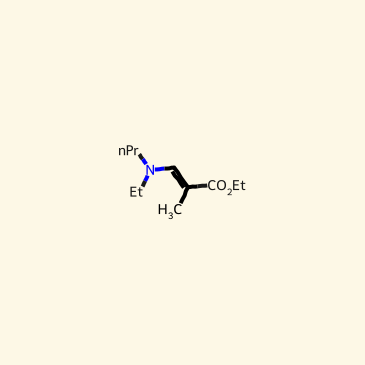 CCCN(C=C(C)C(=O)OCC)CC